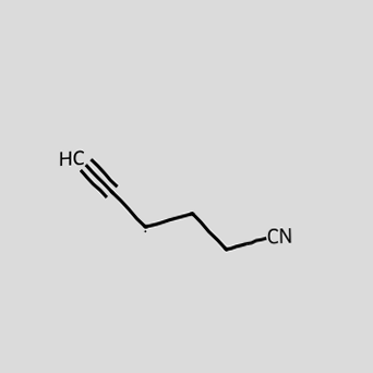 C#C[CH]CCC#N